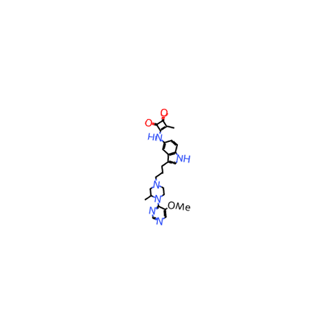 COc1cncnc1N1CCN(CCCc2c[nH]c3ccc(Nc4c(C)c(=O)c4=O)cc23)CC1C